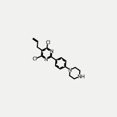 C=CCc1c(Cl)nc(-c2ccc(N3CCNCC3)cc2)nc1Cl